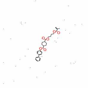 C=C(C)C(=O)OCCCCOC(=O)C1CCC(C(=O)Oc2ccc(-c3ccccc3)cc2)CC1